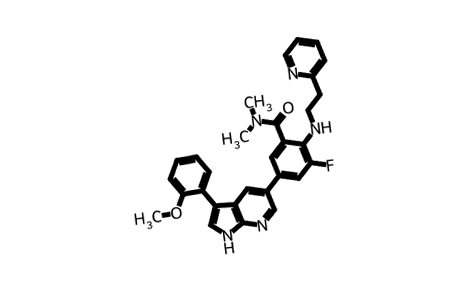 COc1ccccc1-c1c[nH]c2ncc(-c3cc(F)c(NCCc4ccccn4)c(C(=O)N(C)C)c3)cc12